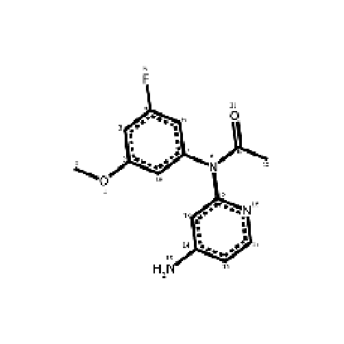 COc1cc(F)cc(N(C(C)=O)c2cc(N)ccn2)c1